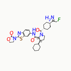 N[C@H](CF)[C@H]1CC[C@H](C(=O)N2CC[C@@H](C3CCCCC3)[C@H]2C(=O)Nc2ccc3nc(N4CCOC4=O)sc3c2)CC1